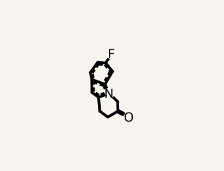 O=C1CCc2cc3ccc(F)cc3n2C1